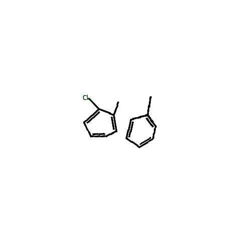 Cc1ccccc1.Cc1ccccc1Cl